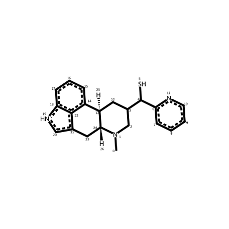 CN1CC(C(S)c2ccccn2)C[C@@H]2c3cccc4[nH]cc(c34)C[C@H]21